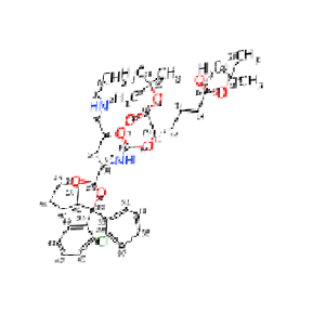 CCNCCC[C@H](NC(=O)O[C@@H](CCCC(=O)OC(C)(C)C)C(=O)OC(C)(C)C)C(=O)OC(c1ccccc1)(c1ccccc1Cl)C1CCCC1